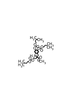 COC(=O)[C@@](N)(CCOC(=O)OCCC(C)C)Cc1ccc(OC(=O)OCCC(C)C)c(OC(=O)OCCC(C)C)c1